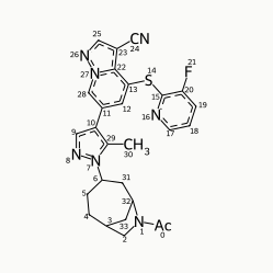 CC(=O)N1CC2CCC(n3ncc(-c4cc(Sc5ncccc5F)c5c(C#N)cnn5c4)c3C)CC1C2